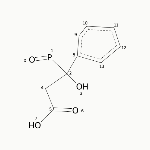 O=PC(O)(CC(=O)O)c1ccccc1